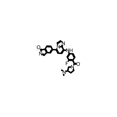 CN(C)C1CCN(C(=O)c2ccc(Nc3ccc(-c4ccc5c(c4)C=NC5=O)n4ccnc34)cc2F)C1